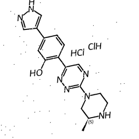 C[C@H]1CN(c2ncc(-c3ccc(-c4cn[nH]c4)cc3O)nn2)CCN1.Cl.Cl